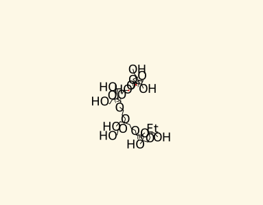 CCC1(CO)OCC(O)[C@@H](COCCC(CO)(OCCO)OCCOC[C@H]2C(CO)OC2(CO)OCCOC[C@H]2C3OC2(CO)O[C@H](CO)C3O)O1